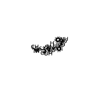 CCc1nnc(SCC2=C(C(=O)O)N3C(=O)C(NC(=O)Cc4ccccc4NC(=O)n4c(=O)[nH]c5ccccc54)[C@H]3SC2)s1